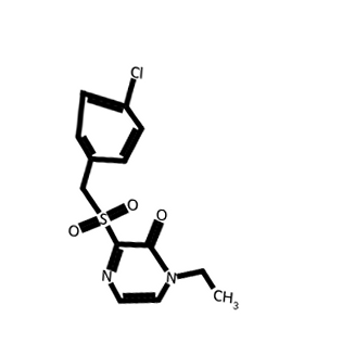 CCn1ccnc(S(=O)(=O)Cc2ccc(Cl)cc2)c1=O